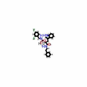 C[C@](Cc1c[nH]c2ccccc12)(OC(=O)NCc1ccc(F)cc1F)C(=O)NCCc1ccccc1